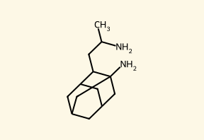 CC(N)CC1C2CC3CC(C2)CC1(N)C3